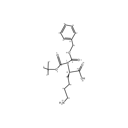 CC(C)(C)OC(=O)N(C(=O)OCc1ccccc1)[C@H](CCCCN)C(=O)O